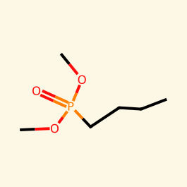 CCCCP(=O)(OC)OC